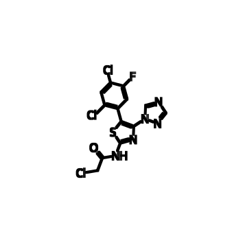 O=C(CCl)Nc1nc(-n2cncn2)c(-c2cc(F)c(Cl)cc2Cl)s1